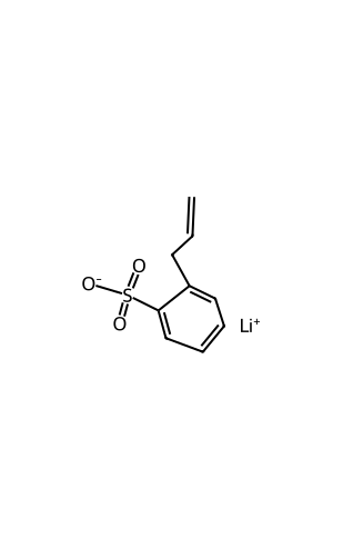 C=CCc1ccccc1S(=O)(=O)[O-].[Li+]